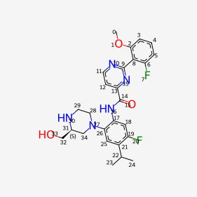 COc1cccc(F)c1-c1nccc(C(=O)Nc2cc(F)c(C(C)C)cc2N2CCN[C@H](CO)C2)n1